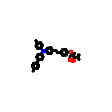 C=C(C)C(=O)C(C)(CO)Oc1ccc(CCc2ccc(N(c3ccc(C)cc3)c3ccc(-c4ccc(C)cc4)cc3)cc2)cc1